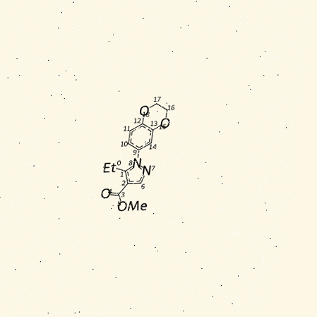 CCc1c(C(=O)OC)cnn1-c1ccc2c(c1)OCCO2